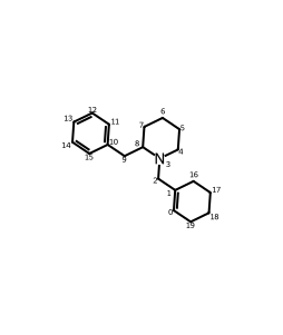 C1=C(CN2CCCCC2Cc2ccccc2)CCCC1